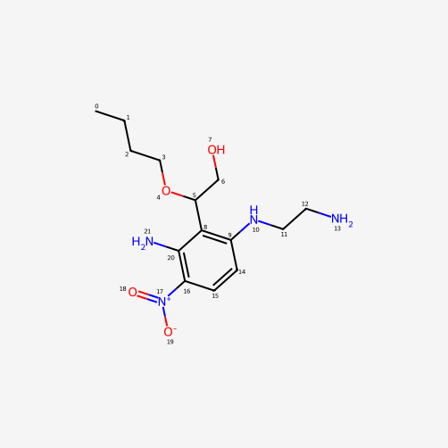 CCCCOC(CO)c1c(NCCN)ccc([N+](=O)[O-])c1N